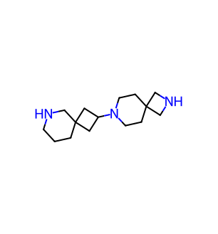 C1CNCC2(C1)CC(N1CCC3(CC1)CNC3)C2